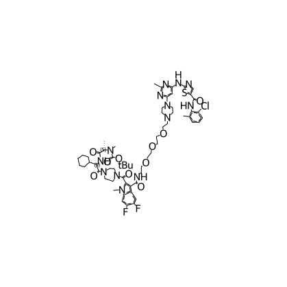 Cc1nc(Nc2ncc(C(=O)Nc3c(C)cccc3Cl)s2)cc(N2CCN(CCOCCOCCOCCNC(=O)c3c(C(=O)N4CCN(C(=O)[C@@H](NC(=O)[C@H](C)N(C)C(=O)OC(C)(C)C)C5CCCCC5)CC4)n(C)c4cc(F)c(F)cc34)CC2)n1